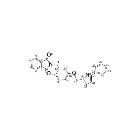 O=C1c2ccccc2C(=O)N1Cc1cccc(OCC2=NC(c3ccccc3)=CC2)c1